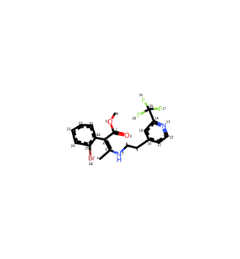 COC(=O)C(=C(C)NCCc1ccnc(C(F)(F)F)c1)c1ccccc1Br